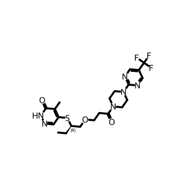 CC[C@H](COCCC(=O)N1CCN(c2ncc(C(F)(F)F)cn2)CC1)Sc1cn[nH]c(=O)c1C